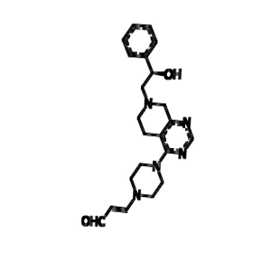 O=CC=CN1CCN(c2ncnc3c2CCN(C[C@H](O)c2ccccc2)C3)CC1